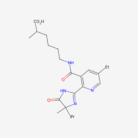 CCc1cnc(C2=NC(C)(C(C)C)C(=O)N2)c(C(=O)NCCCCC(C)C(=O)O)c1